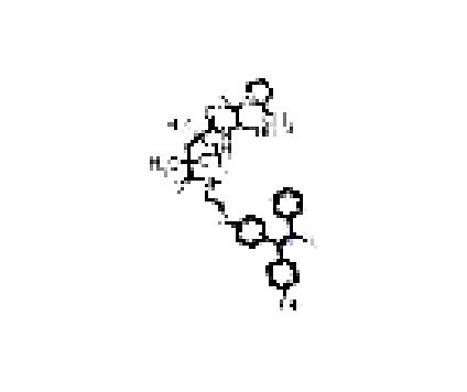 CC/C(=C(\c1ccc(O)cc1)c1ccc(OCCNC(=O)C(C)(C)CC(C)(C)C(=O)NC(C(=O)N2CCCC2C)C(C)(C)C)cc1)c1ccccc1